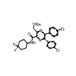 COCc1nc(-c2ccc(Cl)cc2)c(-c2ccc(Cl)cc2)nc1C(=O)NC1CCC(F)(F)CC1